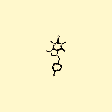 CN1CN(Cc2ccc(Br)cc2)c2c1n(C)c(=O)n(C)c2=O